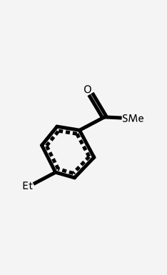 CCc1ccc(C(=O)SC)cc1